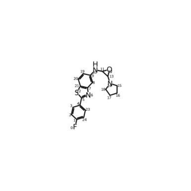 Fc1ccc(-c2nc3cc(NC4OC4N4CCCC4)ccc3s2)cc1